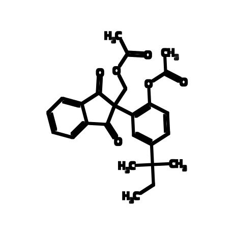 CCC(C)(C)c1ccc(OC(C)=O)c(C2(COC(C)=O)C(=O)c3ccccc3C2=O)c1